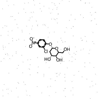 O=[N+]([O-])c1ccc(O[C@H]2C[C@@H](O)[C@H](O)C(CO)O2)c(Cl)c1